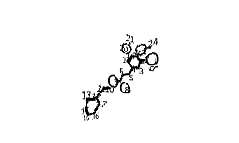 COc1cc(CCC(=O)OC=Cc2ccccc2)cc(OC)c1OC